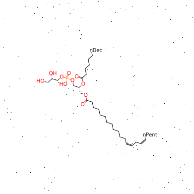 CCCCC/C=C\C/C=C\CCCCCCCCCCCC(=O)OC[C@H](COP(=O)(O)OC[C@@H](O)CO)OC(=O)CCCCCCCCCCCCCCC